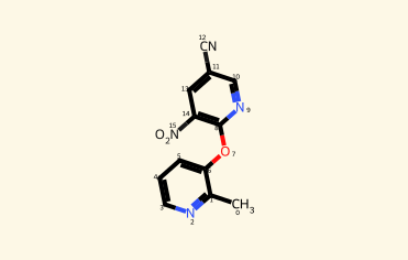 Cc1ncccc1Oc1ncc(C#N)cc1[N+](=O)[O-]